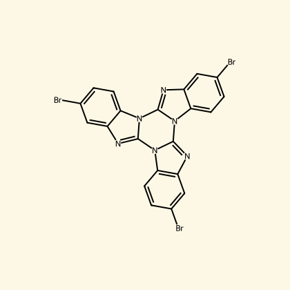 Brc1ccc2c(c1)nc1n2c2nc3cc(Br)ccc3n2c2nc3cc(Br)ccc3n12